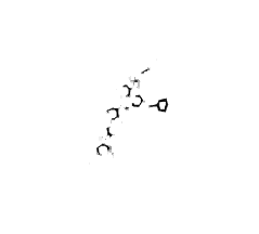 CCCC(NC(=O)[C@@H]1C[C@@H](OCc2ccccc2)CN1C(=O)C(NC(=O)OCC(C)C)C(C)C)C(=O)C(=O)NCC(=O)NC(CC(C)C)C(N)=O